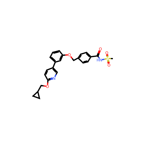 CS(=O)(=O)NC(=O)c1ccc(COc2cccc(-c3ccc(OCC4CC4)nc3)c2)cc1